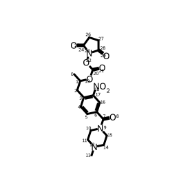 CC(Cc1ccc(C(=O)N2CCN(C)CC2)cc1[N+](=O)[O-])OC(=O)ON1C(=O)CCC1=O